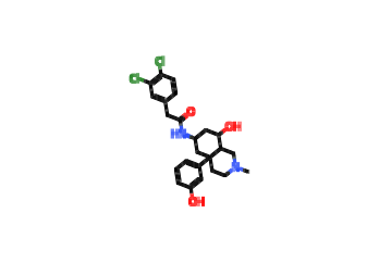 CN1CCC2(c3cccc(O)c3)C[C@@H](NC(=O)Cc3ccc(Cl)c(Cl)c3)CC(O)C2C1